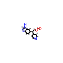 O=COCC(c1ccncc1)c1ccc2nc[nH]c2c1